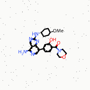 CO[C@H]1CC[C@H](Nc2ncc3c(N)ncc(-c4ccc(C(=O)N5CCOCC5)c(O)c4)c3n2)CC1